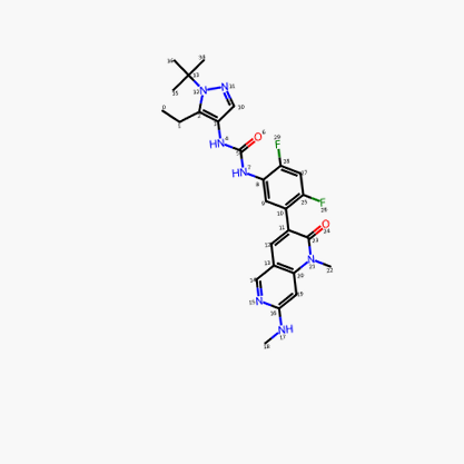 CCc1c(NC(=O)Nc2cc(-c3cc4cnc(NC)cc4n(C)c3=O)c(F)cc2F)cnn1C(C)(C)C